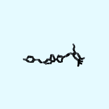 CCCc1cc(C)c(F)cc1C#Cc1ccc(-c2ccc3cc(CCc4ccc(C)cc4)ccc3c2)cc1